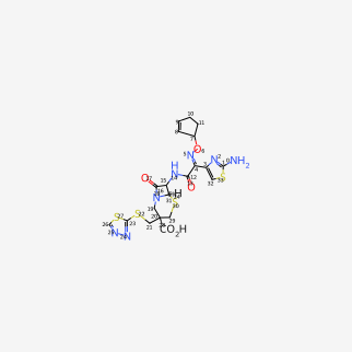 Nc1nc(C(=NOC2C=CCC2)C(=O)NC2C(=O)N3CC(CSc4nncs4)(C(=O)O)CS[C@H]23)cs1